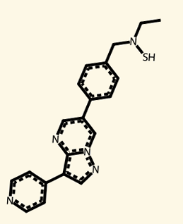 CCN(S)Cc1ccc(-c2cnc3c(-c4ccncc4)cnn3c2)cc1